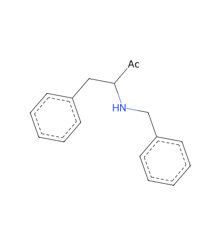 CC(=O)C(Cc1ccccc1)NCc1ccccc1